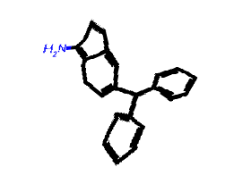 NC1=C2CC=C(C(c3ccccc3)c3ccccc3)C=C2CC1